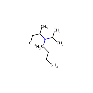 CCC(C)N([SiH2]CC[SiH3])C(C)C